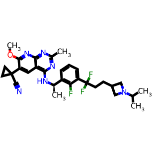 COc1nc2nc(C)nc(N[C@H](C)c3cccc(C(F)(F)CCC4CN(C(C)C)C4)c3F)c2cc1C1(C#N)CC1